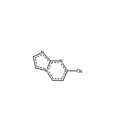 N#Cc1ccn2ccnc2n1